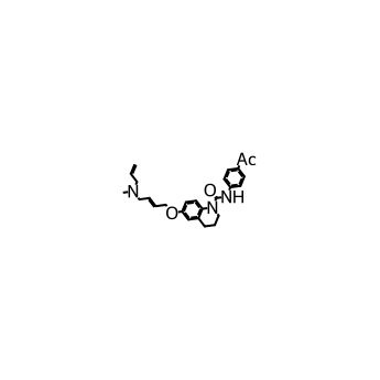 C=CCN(C)C/C=C/COc1ccc2c(c1)CCCN2C(=O)Nc1ccc(C(C)=O)cc1